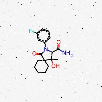 CC1(O)C(C(N)=O)N(c2cccc(F)c2)C(=O)C12C[CH]CCC2